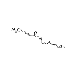 CC=CC=CC=CC(=O)CCC=CC=CC=CC=CCC